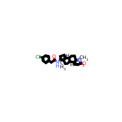 CN1C(=O)C=C[C@@]2(C)C1CC[C@@H]1[C@H]2CC[C@]2(C)C(NC(=O)Cc3ccc(Cl)cc3)CC[C@@H]12